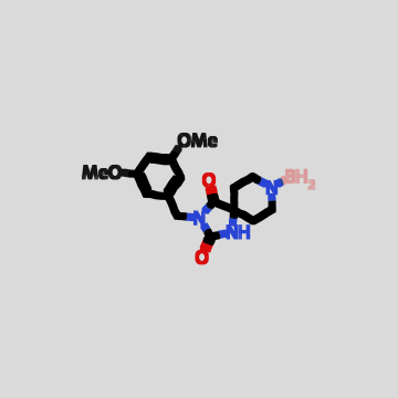 BN1CCC2(CC1)NC(=O)N(Cc1cc(OC)cc(OC)c1)C2=O